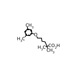 Cc1cc(C)cc(OCCCCC(C)(C)C(=O)O)c1